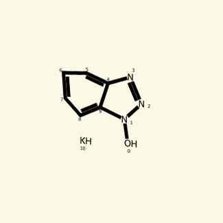 On1nnc2ccccc21.[KH]